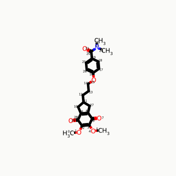 COC1=C(OC)C(=O)C2=C(CC(CCCOc3ccc(C(=O)N(C)C)cc3)C2)C1=O